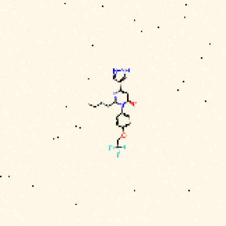 CCCCc1nc(-c2cn[nH]c2)cc(=O)n1-c1ccc(OCC(F)(F)F)cc1